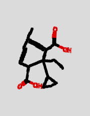 CCC1(C2CC2)C(C(=O)O)=C(C)C=CC1C(=O)O